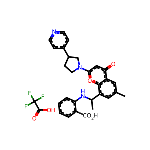 Cc1cc(C(C)Nc2ccccc2C(=O)O)c2oc(N3CCC(c4ccncc4)C3)cc(=O)c2c1.O=C(O)C(F)(F)F